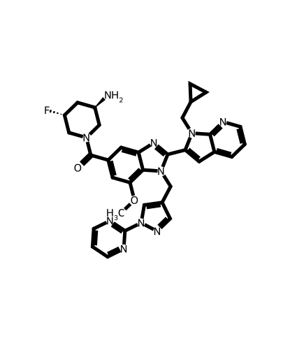 COc1cc(C(=O)N2C[C@H](N)C[C@@H](F)C2)cc2nc(-c3cc4cccnc4n3CC3CC3)n(Cc3cnn(-c4ncccn4)c3)c12